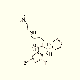 CN(C)CCNC[C@H]1CC[C@@H]2[C@H](O1)c1cc(Br)cc(F)c1N[C@H]2C1C=CC=CC1